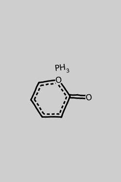 O=c1cccco1.P